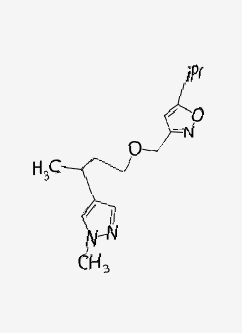 CC(C)c1cc(COCCC(C)c2cnn(C)c2)no1